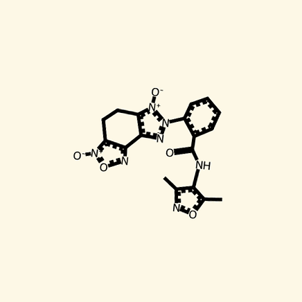 Cc1noc(C)c1NC(=O)c1ccccc1-n1nc2c([n+]1[O-])CCc1c-2no[n+]1[O-]